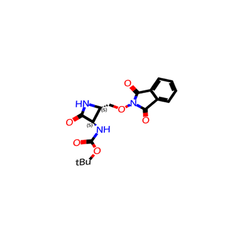 CC(C)(C)OC(=O)N[C@@H]1C(=O)N[C@@H]1CON1C(=O)c2ccccc2C1=O